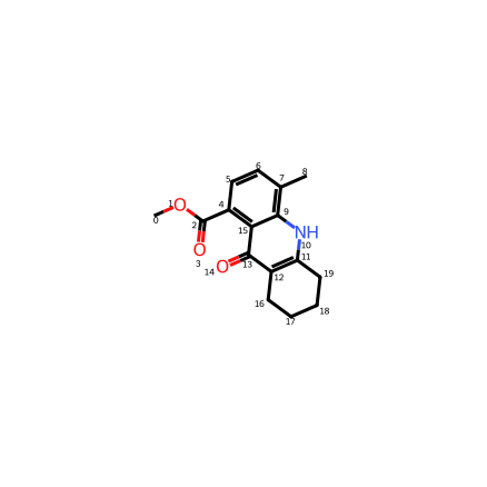 COC(=O)c1ccc(C)c2[nH]c3c(c(=O)c12)CCCC3